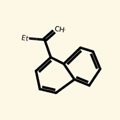 [CH]=C(CC)c1cccc2ccccc12